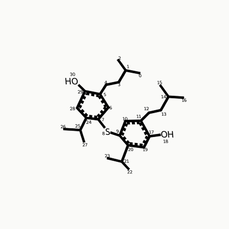 CC(C)CCc1cc(Sc2cc(CCC(C)C)c(O)cc2C(C)C)c(C(C)C)cc1O